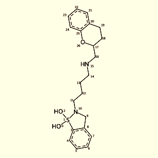 OS1(O)c2ccccc2CN1CCCCNCC1CCc2ccccc2O1